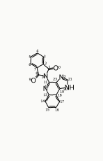 O=C1c2ccccc2C(=O)N1c1nc2ccccc2c2[nH]cnc12